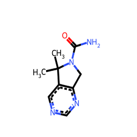 CC1(C)c2cncnc2CN1C(N)=O